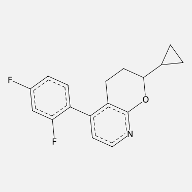 Fc1ccc(-c2ccnc3c2CCC(C2CC2)O3)c(F)c1